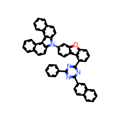 c1ccc(-c2nc(-c3ccc4ccccc4c3)nc(-c3cccc4oc5cc(-n6c7ccc8ccccc8c7c7c8ccccc8ccc76)ccc5c34)n2)cc1